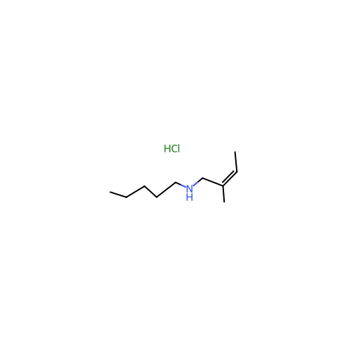 CC=C(C)CNCCCCC.Cl